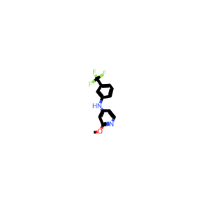 COc1cc(Nc2cccc(C(F)(F)F)c2)ccn1